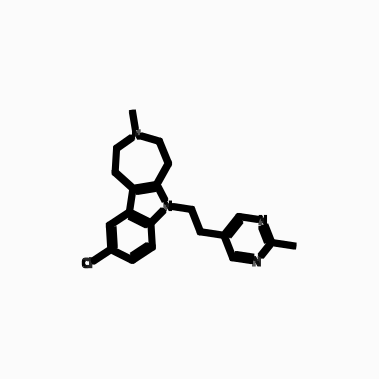 Cc1ncc(CCn2c3c(c4cc(Cl)ccc42)CCN(C)CC3)cn1